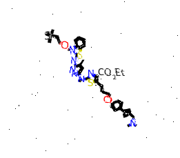 CCOC(=O)c1nc(N(C)c2cc(C)c(/N=c3\sc4ccccc4n3COCC[Si](C)(C)C)nn2)sc1CCCOc1ccc(C23CC(CN(C)C)(C2)C3)cc1